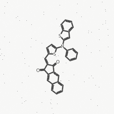 O=C1C(=Cc2ccc(N(c3ccccc3)c3cc4ccccc4s3)s2)C(=O)c2cc3ccccc3cc21